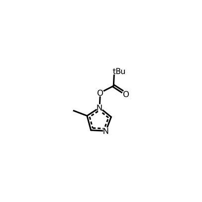 Cc1cncn1OC(=O)C(C)(C)C